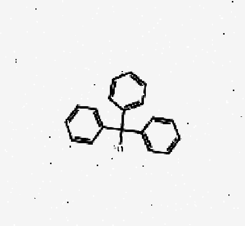 [2H]C(c1ccccc1)(c1ccccc1)c1ccccc1